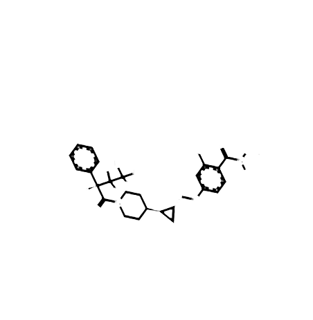 CN(C)C(=O)c1ccc(OC[C@@H]2C[C@H]2C2CCN(C(=O)[C@](O)(c3ccccc3)C(F)(F)C(F)(F)F)CC2)cc1Cl